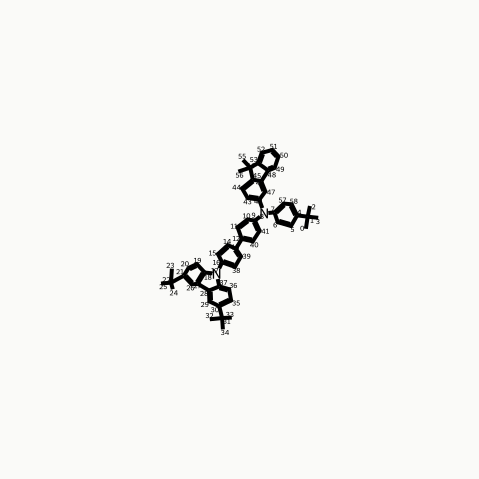 CC(C)(C)c1ccc(N(c2ccc(-c3ccc(-n4c5ccc(C(C)(C)C)cc5c5cc(C(C)(C)C)ccc54)cc3)cc2)c2ccc3c(c2)-c2ccccc2C3(C)C)cc1